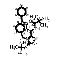 CC(C)(C)Sc1nnc([C@@H](COCc2ccccc2)NC(=O)C(C)(C)N)n1Cc1ccccc1